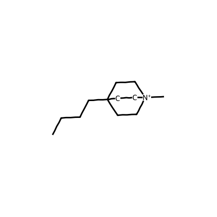 CCCCC12CC[N+](C)(CC1)CC2